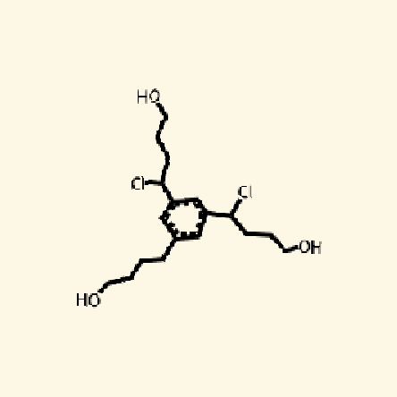 OCCCCc1cc(C(Cl)CCCO)cc(C(Cl)CCCO)c1